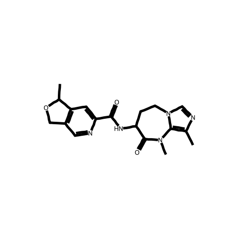 Cc1ncn2c1N(C)C(=O)C(NC(=O)c1cc3c(cn1)COC3C)CC2